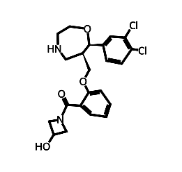 O=C(c1ccccc1OC[C@H]1CNCCO[C@H]1c1ccc(Cl)c(Cl)c1)N1CC(O)C1